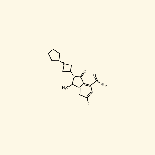 CC1c2cc(F)cc(C(N)=O)c2C(=O)N1C1CN(C2CCCC2)C1